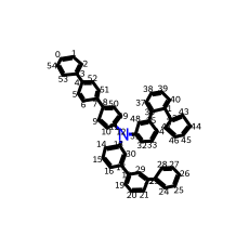 c1ccc(-c2ccc(-c3ccc(N(c4cccc(-c5cccc(-c6ccccc6)c5)c4)c4cccc(-c5ccccc5-c5ccccc5)c4)cc3)cc2)cc1